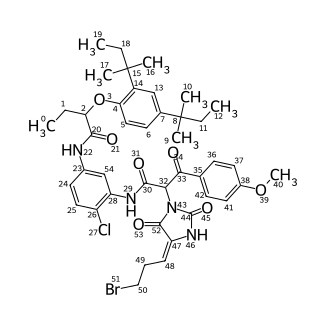 CCC(Oc1ccc(C(C)(C)CC)cc1C(C)(C)CC)C(=O)Nc1ccc(Cl)c(NC(=O)C(C(=O)c2ccc(OC)cc2)N2C(=O)NC(=CCCBr)C2=O)c1